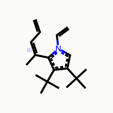 C=C/C=C(/C)c1c(C(C)(C)C)c(C(C)(C)C)cn1C=C